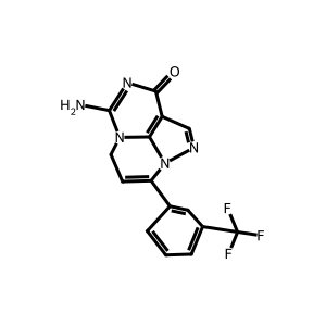 Nc1nc(=O)c2cnn3c2n1CC=C3c1cccc(C(F)(F)F)c1